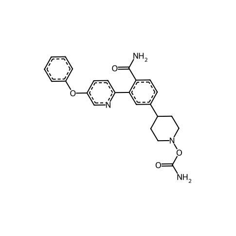 NC(=O)ON1CCC(c2ccc(C(N)=O)c(-c3ccc(Oc4ccccc4)cn3)c2)CC1